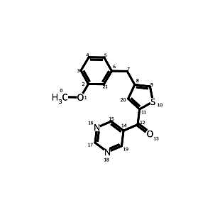 COc1cccc(Cc2csc(C(=O)c3cncnc3)c2)c1